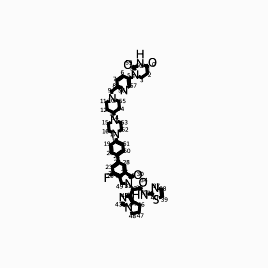 O=C1CCN(c2ccc(CN3CCC(N4CCN(c5ccc(-c6cc(F)c7c(c6)C(=O)N(C(C(=O)Nc6nccs6)c6ncn8c6CCC8)C7)cc5)CC4)CC3)nc2)C(=O)N1